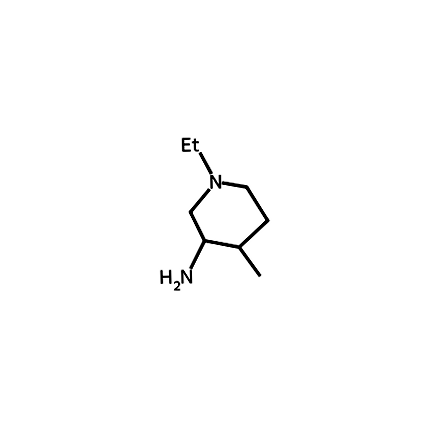 CCN1CCC(C)C(N)C1